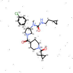 CN(C(=O)NCCC1CC1)[C@H]1CN(C(=O)C2CCN(C(=O)C3(C)CC3)CC2)C[C@@H]1c1ccc(Cl)cc1